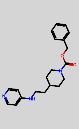 O=C(OCc1ccccc1)N1CCC(CCNc2ccncc2)CC1